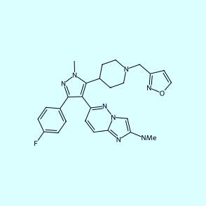 CNc1cn2nc(-c3c(-c4ccc(F)cc4)nn(C)c3C3CCN(Cc4ccon4)CC3)ccc2n1